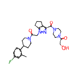 Cc1cc(F)ccc1C1CCN(C(=O)Cn2nc(C(=O)N3CCN(C(=O)CO)CC3)c3c2CCC3)CC1